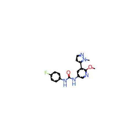 COc1ncc(NC(=O)Nc2ccc(F)cc2)cc1-c1ccnn1C